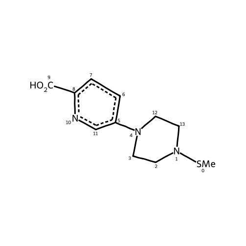 CSN1CCN(c2ccc(C(=O)O)nc2)CC1